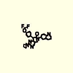 O=c1c(-c2ccc(OC(F)F)cc2)c2nc(N3CCC3)ncc2cn1-c1ccc2ncccc2c1